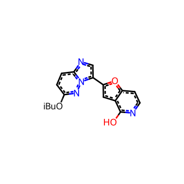 CC(C)COc1ccc2ncc(-c3cc4c(O)nccc4o3)n2n1